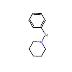 c1ccc([Se]N2CCCCC2)cc1